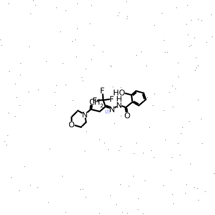 C=C(C/C(=N/NC(=O)c1ccccc1O)C(F)(F)F)N1CCOCC1